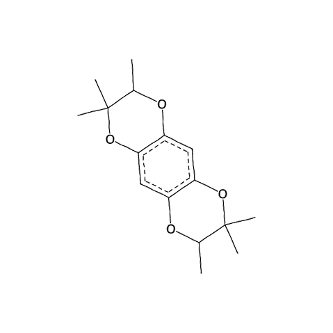 CC1Oc2cc3c(cc2OC1(C)C)OC(C)C(C)(C)O3